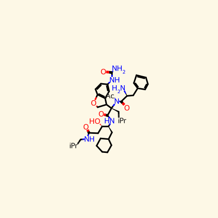 CC(=O)N(C(=O)[C@@H](N)Cc1ccccc1)[C@](CC(C)C)(C(=O)N[C@@H](CC1CCCCC1)[C@@H](O)CC(=O)NCC(C)C)C1COc2ccc(NC(N)=O)cc21